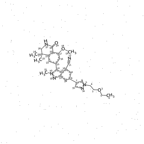 CCOCCn1cc(-c2cc(C#N)c3c(-c4cc(OC)c5c(c4)C(C)(C)CNC5=O)n(C)nc3c2)cn1